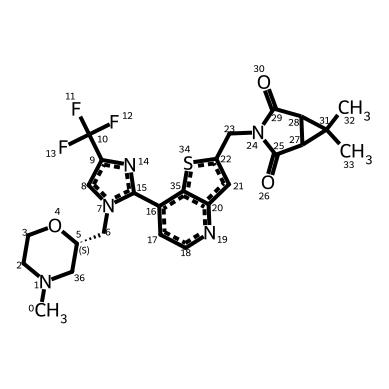 CN1CCO[C@H](Cn2cc(C(F)(F)F)nc2-c2ccnc3cc(CN4C(=O)C5C(C4=O)C5(C)C)sc23)C1